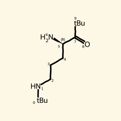 CC(C)(C)NCCC[C@@H](N)C(=O)C(C)(C)C